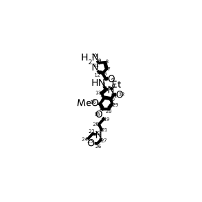 CCn1c(NC(=O)c2ccc(N)nc2)cc2c(OC)c(OCCCN3CCOCC3)ccc2c1=O